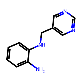 Nc1ccccc1NCc1cncnc1